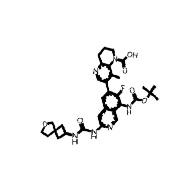 Cc1c(-c2cc3cc(NC(=O)NC4CC5(CCOC5)C4)ncc3c(NC(=O)OC(C)(C)C)c2F)cnc2c1N(C(=O)O)CCC2